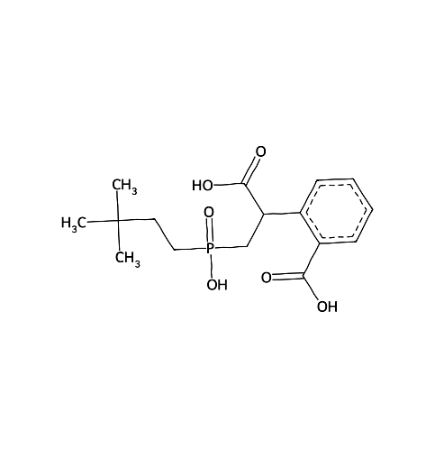 CC(C)(C)CCP(=O)(O)CC(C(=O)O)c1ccccc1C(=O)O